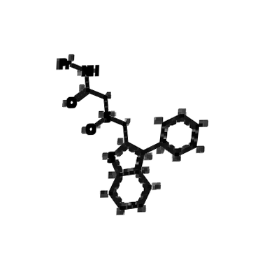 CC(C)NC(=O)C[S+]([O-])Cc1sc2ccccc2c1-c1ccccc1